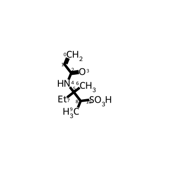 C=CC(=O)NC(C)(CC)C(C)S(=O)(=O)O